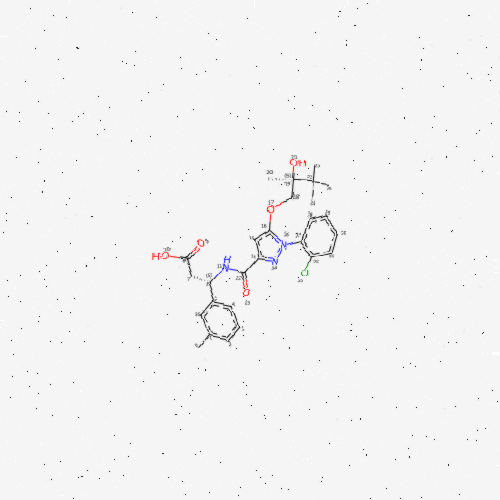 Cc1cccc([C@H](CC(=O)O)NC(=O)c2cc(OC[C@@](C)(O)C(C)(C)C)n(-c3ccccc3Cl)n2)c1